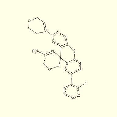 NC1=NC2(COC1)c1cc(-c3cccnc3F)ccc1Oc1cnc(C3=CCOCC3)cc12